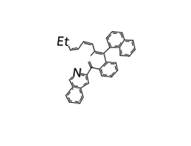 C=C(c1cc2ccccc2cn1)c1ccccc1/C(=C(C)/C=C\C=C/CC)c1cccc2ccccc12